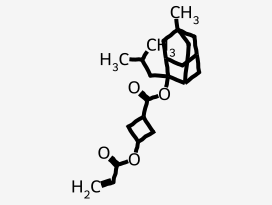 C=CC(=O)OC1CC(C(=O)OC2(CC(C)C)C3CC4CC2CC(C)(C4)C3)C1